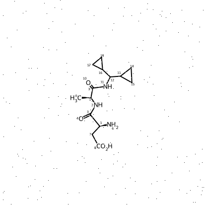 C[C@H](NC(=O)[C@@H](N)CC(=O)O)C(=O)NC(C1CC1)C1CC1